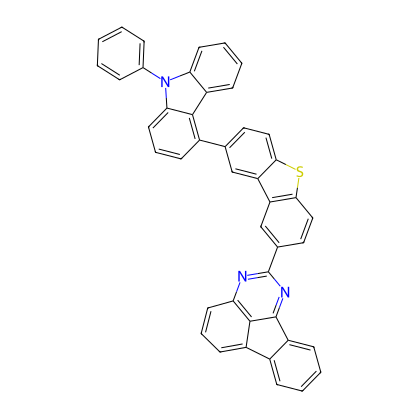 c1ccc(-n2c3ccccc3c3c(-c4ccc5sc6ccc(-c7nc8c9c(cccc9n7)-c7ccccc7-8)cc6c5c4)cccc32)cc1